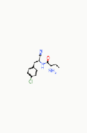 CC[C@H](N)C(=O)N[C@H](C#N)Cc1ccc(Cl)cc1